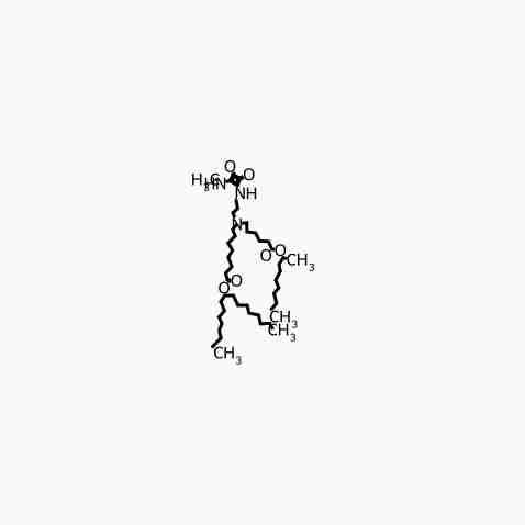 CCCCCCCCC(C)OC(=O)CCCCCN(CCCCCCCC(=O)OC(CCCCCCCC)CCCCCCCC)CCCNc1c(NC)c(=O)c1=O